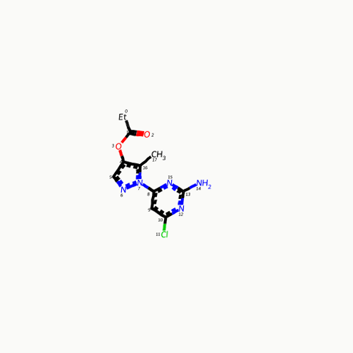 CCC(=O)Oc1cnn(-c2cc(Cl)nc(N)n2)c1C